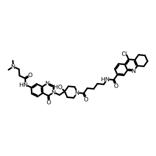 CN(C)CCC(=O)Nc1ccc2c(=O)n(CC3(O)CCN(C(=O)CCCCNC(=O)c4ccc5c(Cl)c6c(nc5c4)CCCC6)CC3)cnc2c1